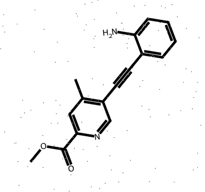 COC(=O)c1cc(C)c(C#Cc2ccccc2N)cn1